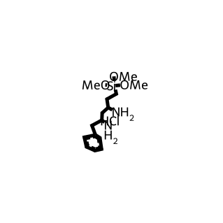 CO[Si](CCC(N)CC(N)Cc1ccccc1)(OC)OC.Cl